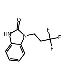 O=c1[nH]c2c[c]ccc2n1CCC(F)(F)F